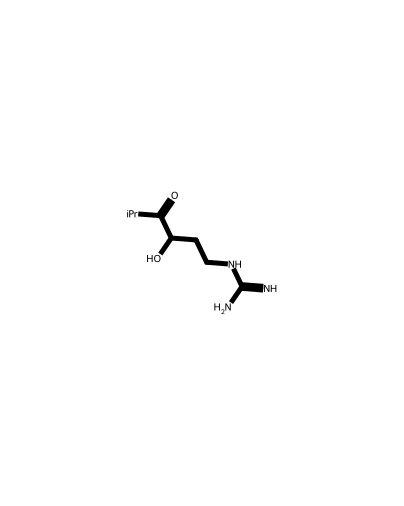 CC(C)C(=O)C(O)CCNC(=N)N